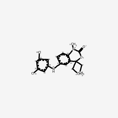 CCC1(CC)OC(=O)N(C)c2ccc(Nc3cc(Cl)cc(Cl)c3)cc21